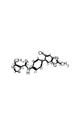 Cc1nc2cc(Cl)c(-c3ccc(NC(=O)c4scnc4C)cc3)cc2o1